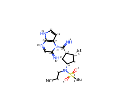 CCC(C)S(=O)(=O)N(CCC#N)[C@H]1C[C@@H](CC)[C@@H](C(=N)n2c(=N)cnc3[nH]ccc32)C1